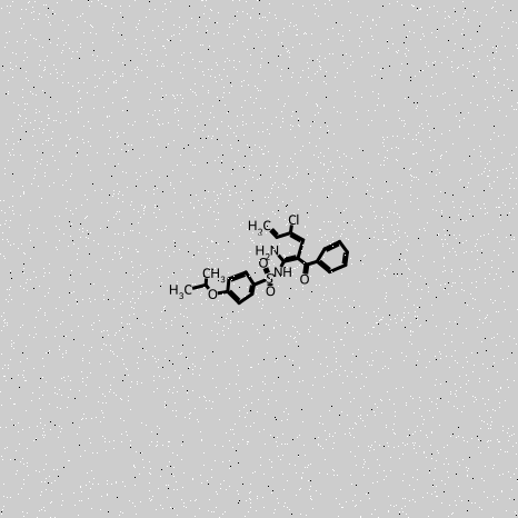 C=C/C(Cl)=C\C(C(=O)c1ccccc1)=C(/N)NS(=O)(=O)c1ccc(OC(C)C)cc1